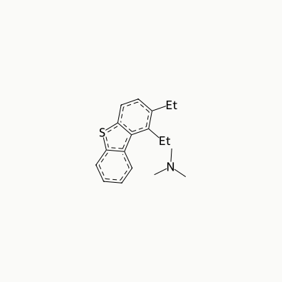 CCc1ccc2sc3ccccc3c2c1CC.CN(C)C